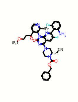 CC(C)c1nccc(C(=O)CCOC(C)(C)C)c1-n1c(=O)nc(N2CCN(C(=O)OCc3ccccc3)[C@@H](CC#N)C2)c2cc(F)c(-c3c(N)cccc3F)nc21